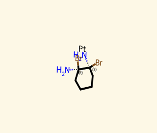 N[C@]1(Br)CCCC[C@@]1(N)Br.[Pt]